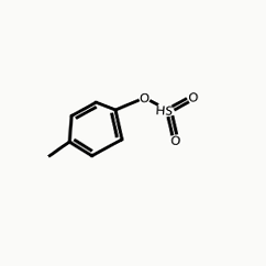 Cc1ccc(O[SH](=O)=O)cc1